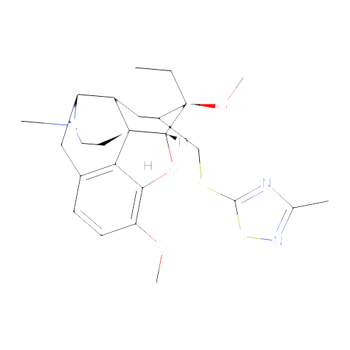 COc1ccc2c3c1O[C@H]1[C@@]4(OC)CC[C@@]5(C[C@@H]4CSc4nc(C)ns4)C(C2)N(C)CC[C@]315